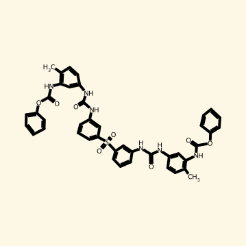 Cc1ccc(NC(=O)Nc2cccc(S(=O)(=O)c3cccc(NC(=O)Nc4ccc(C)c(NC(=O)Oc5ccccc5)c4)c3)c2)cc1NC(=O)Oc1ccccc1